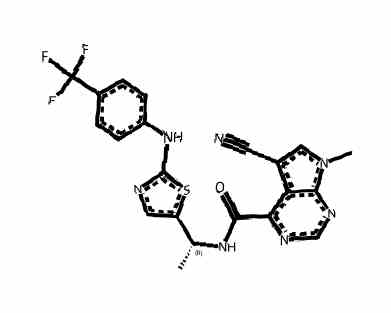 C[C@@H](NC(=O)c1ncnc2c1c(C#N)cn2C)c1cnc(Nc2ccc(C(F)(F)F)cc2)s1